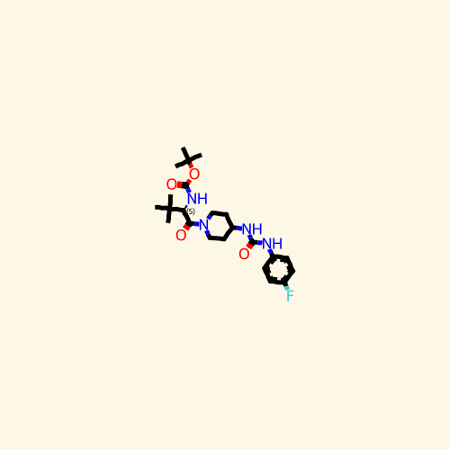 CC(C)(C)OC(=O)N[C@H](C(=O)N1CCC(NC(=O)Nc2ccc(F)cc2)CC1)C(C)(C)C